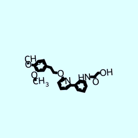 COc1ccc(CCOc2cccc(-c3cccc(NC(=O)CO)c3)n2)cc1OC